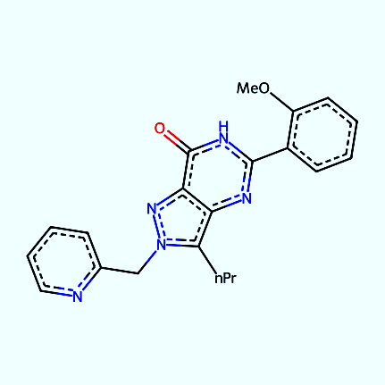 CCCc1c2nc(-c3ccccc3OC)[nH]c(=O)c2nn1Cc1ccccn1